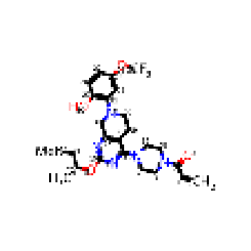 C=CC(=O)N1CCN(c2nc(O[C@H](C)CNC)nc3c2CCN(c2cc(OC(F)(F)F)ccc2O)C3)CC1